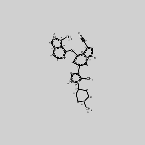 Cc1c(-c2cc(Sc3nccc4cnn(C)c34)c3c(C#N)cnn3c2)cnn1C1CCN(C)CC1